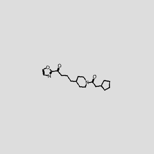 O=C(CCCC1CCN(C(=O)CC2CCCC2)CC1)c1ncco1